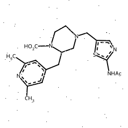 CC(=O)Nc1ncc(CN2CCN(C(=O)O)C(Cc3cc(C)nc(C)c3)C2)s1